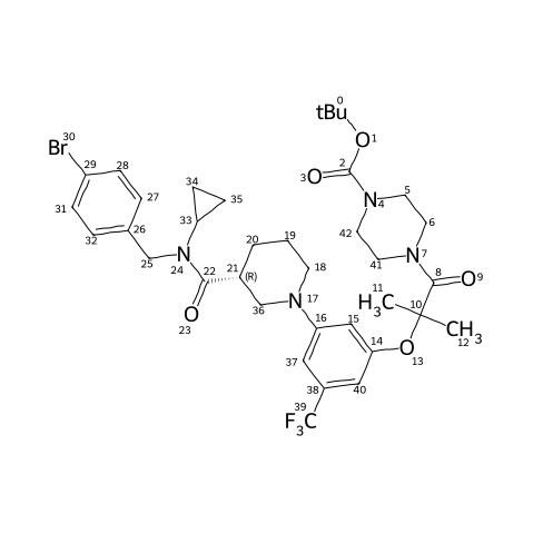 CC(C)(C)OC(=O)N1CCN(C(=O)C(C)(C)Oc2cc(N3CCC[C@@H](C(=O)N(Cc4ccc(Br)cc4)C4CC4)C3)cc(C(F)(F)F)c2)CC1